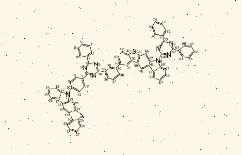 c1ccc(-c2nc(-c3ccc(-n4c5ccccc5c5cc6c(cc54)sc4ccccc46)cc3)nc(-c3cccc(-c4ccc5sc6cc7c(cc6c5c4)c4ccccc4n7-c4nc(-c5ccccc5)nc(-c5ccccc5)n4)c3)n2)cc1